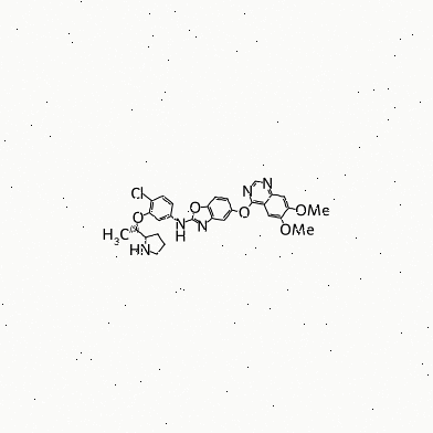 COc1cc2ncnc(Oc3ccc4oc(Nc5ccc(Cl)c(O[C@@H](C)C6CCCN6)c5)nc4c3)c2cc1OC